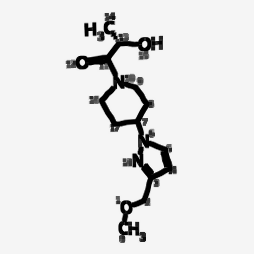 COCc1[c]cn(C2CCN(C(=O)[C@H](C)O)CC2)n1